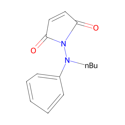 CCCCN(c1ccccc1)N1C(=O)C=CC1=O